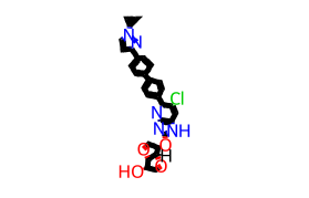 O[C@@H]1CO[C@H]2C1OC[C@H]2Oc1nc2nc(-c3ccc(-c4ccc(-c5ccn(C6CC6)n5)cc4)cc3)c(Cl)cc2[nH]1